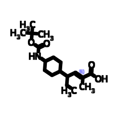 CCC(/C=C(\C)C(=O)O)C1CCC(NC(=O)OC(C)(C)C)CC1